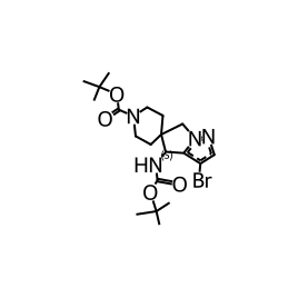 CC(C)(C)OC(=O)N[C@@H]1c2c(Br)cnn2CC12CCN(C(=O)OC(C)(C)C)CC2